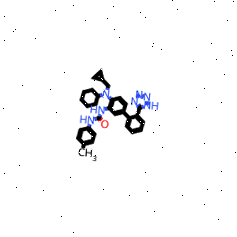 Cc1ccc(NC(=O)Nc2cc(-c3ccccc3-c3nnn[nH]3)ccc2N(CC2CC2)C2CCCCC2)cc1